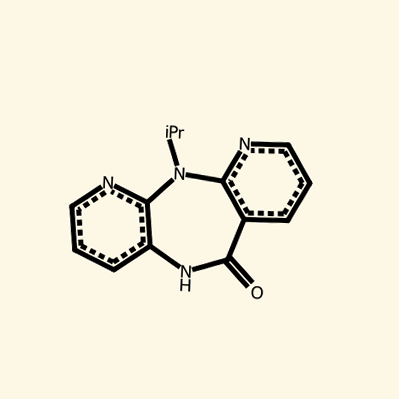 CC(C)N1c2ncccc2NC(=O)c2cccnc21